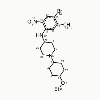 CCOC1CCC(N2CCC(Nc3cc(C)c(Br)cc3[N+](=O)[O-])CC2)CC1